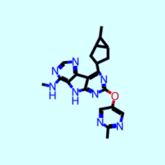 CNc1ncnc2c1[nH]c1nc(Oc3cnc(C)nc3)nc(C3CC4C(C)C4C3)c12